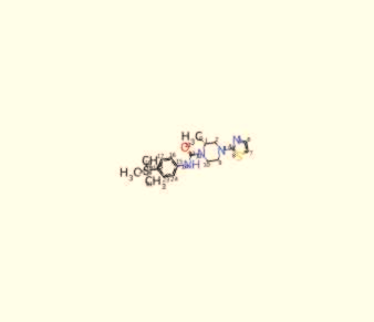 C[C@@H]1CN(c2nccs2)CCN1C(=O)Nc1ccc([Si](C)(C)C)cc1